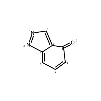 O=C1C=CC=C2N=NC=C12